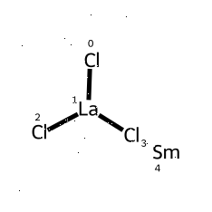 [Cl][La]([Cl])[Cl].[Sm]